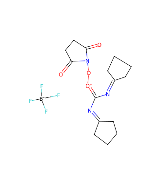 F[B-](F)(F)F.O=C1CCC(=O)N1O[O+]=C(N=C1CCCC1)N=C1CCCC1